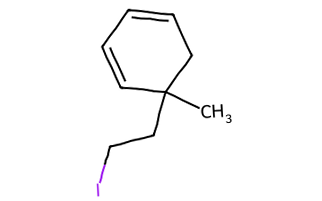 CC1(CCI)C=CC=CC1